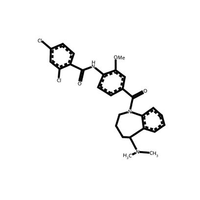 COc1cc(C(=O)N2CCCC(N(C)C)c3ccccc32)ccc1NC(=O)c1ccc(Cl)cc1Cl